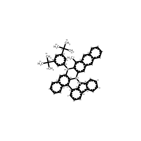 Cc1c2c(cc3cc4ccccc4cc13)B1c3c(cc4ccccc4c3-c3cccc4c5ccccc5n1c34)N2c1cc(C(C)(C)C)cc(C(C)(C)C)c1